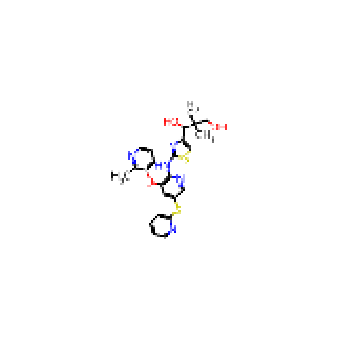 Cc1ncccc1Oc1cc(Sc2ccccn2)cnc1Nc1nc(C(O)C(C)(C)CO)cs1